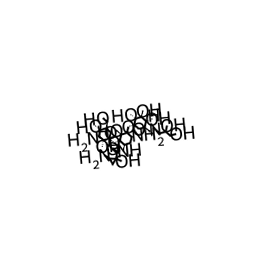 NC1CC1(O)C(=O)N[C@@H]1C[C@H](N)C(O[C@H]2O[C@H](CNCC(O)CO)[C@@H](O)[C@H](O)[C@H]2O)[C@H](O)[C@H]1O[C@H]1O[C@H](CO)[C@@H](O)[C@H](N)[C@H]1O